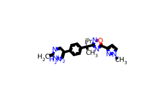 C=C(N)/N=C\C(=C/N)c1ccc([C@](C)(c2noc(-c3ccn(C)n3)n2)C(C)C)cc1